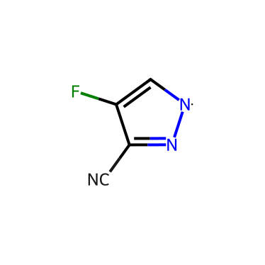 N#CC1=N[N]C=C1F